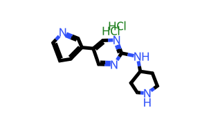 Cl.Cl.c1cncc(-c2cnc(NC3CCNCC3)nc2)c1